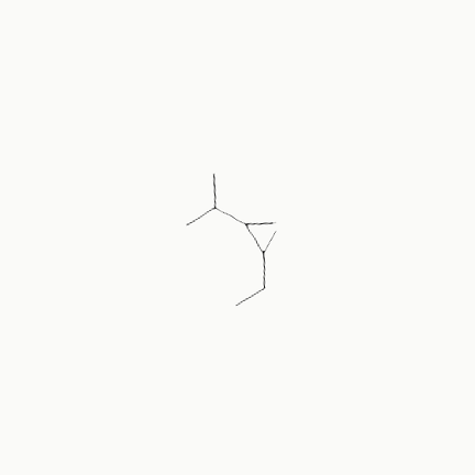 CCC1OC1C(C)C